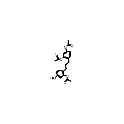 CC(=O)Oc1ccc(CCCc2ccc(O)cc2OC(C)=O)c(OC(C)=O)c1